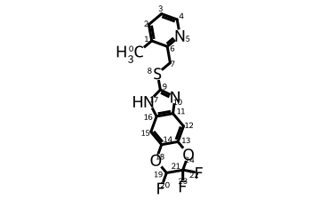 Cc1cccnc1CSc1nc2cc3c(cc2[nH]1)OC(F)C(F)(F)O3